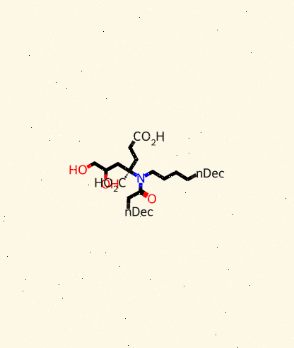 CCCCCCCCCCCCCCN(C(=O)CCCCCCCCCCC)[C@](CCC(=O)O)(CC(O)CO)C(=O)O